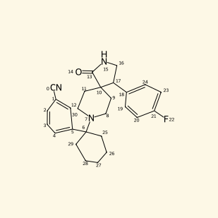 N#Cc1cccc(C2(N3CCC4(CC3)C(=O)NCC4c3ccc(F)cc3)CCCCC2)c1